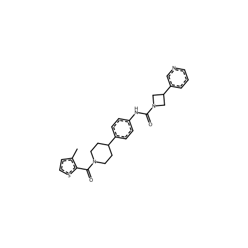 Cc1ccsc1C(=O)N1CCC(c2ccc(NC(=O)N3CC(c4cccnc4)C3)cc2)CC1